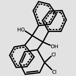 OC(c1ccccc1)(c1ccccc1)C(O)(c1ccccc1)C1C=CC=CC1(Cl)Cl